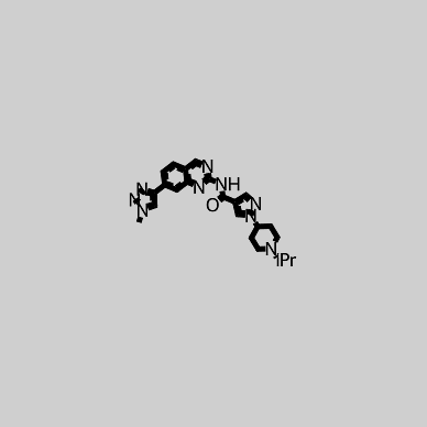 CC(C)N1CCC(n2cc(C(=O)Nc3ncc4ccc(-c5cn(C)nn5)cc4n3)cn2)CC1